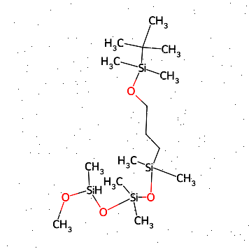 CO[SiH](C)O[Si](C)(C)O[Si](C)(C)CCCO[Si](C)(C)C(C)(C)C